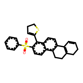 O=S(=O)(c1ccccc1)c1ccc2c3c(ccc2c1C1=CCCS1)C1=C(CCC=C1)CC3